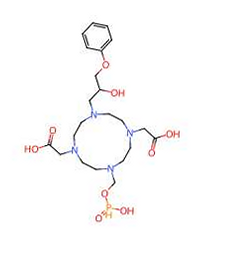 O=C(O)CN1CCN(CO[PH](=O)O)CCN(CC(=O)O)CCN(CC(O)COc2ccccc2)CC1